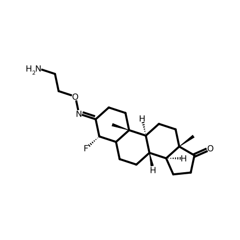 C[C@]12CCC(=NOCCN)[C@@H](F)C1CC[C@@H]1[C@@H]2CC[C@]2(C)C(=O)CC[C@@H]12